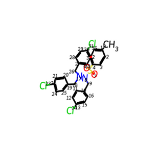 Cc1ccc(S(=O)(=O)N(Cc2ccc(Cl)cc2)N(Cc2ccc(Cl)cc2)Cc2ccc(Cl)cc2)cc1